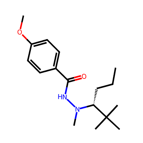 CCC[C@@H](N(C)NC(=O)c1ccc(OC)cc1)C(C)(C)C